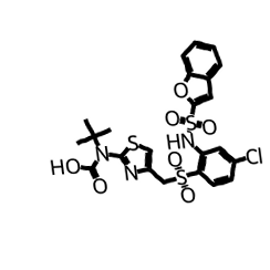 CC(C)(C)N(C(=O)O)c1nc(CS(=O)(=O)c2ccc(Cl)cc2NS(=O)(=O)c2cc3ccccc3o2)cs1